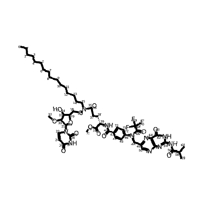 CCCCCCCCCCCCCCCCN(OCC1OC(n2ccc(=O)[nH]c2=O)C(OC)C1O)C(=O)CC[C@H](NC(=O)c1ccc(N(Cc2cnc3nc(NC(=O)C(C)C)[nH]c(=O)c3n2)C(=O)C(F)(F)F)cc1)C(=O)OC